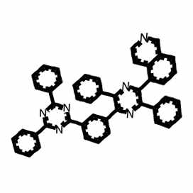 c1ccc(-c2nc(-c3ccccc3)nc(-c3cccc(-c4nc(-c5ccccc5)c(-c5cccc6cnccc56)nc4-c4ccccc4)c3)n2)cc1